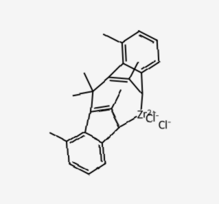 CC1=C2c3c(C)cccc3[CH]1[Zr+2][CH]1C(C)=C(c3c(C)cccc31)C2(C)C.[Cl-].[Cl-]